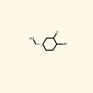 CCCC1CC[C@H](CO)CC1F